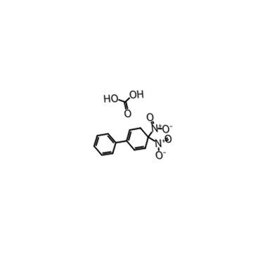 O=C(O)O.O=[N+]([O-])C1([N+](=O)[O-])C=CC(c2ccccc2)=CC1